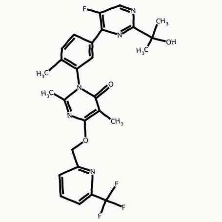 Cc1ccc(-c2nc(C(C)(C)O)ncc2F)cc1-n1c(C)nc(OCc2cccc(C(F)(F)F)n2)c(C)c1=O